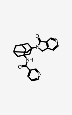 O=C(NC12CC3CC(C1)CC(N1Cc4ccncc4C1=O)(C3)C2)c1cccnc1